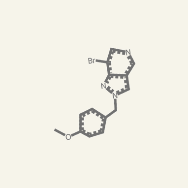 COc1ccc(Cn2cc3cncc(Br)c3n2)cc1